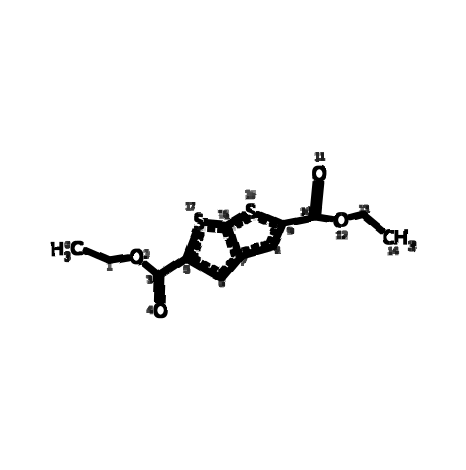 CCOC(=O)c1cc2cc(C(=O)OCC)sc2s1